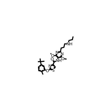 CCCNCCCc1nc(OC)c(NC(=O)c2csc(Oc3cc(C(C)(C)C)ccc3C)n2)c(OC)n1